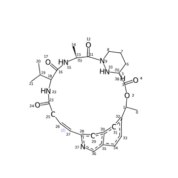 CC1OC(=O)[C@@H]2CCCN(N2)C(=O)[C@H](C)NC(=O)C(C(C)C)NC(=O)C/C=C\c2cc3cc1ccc3cn2